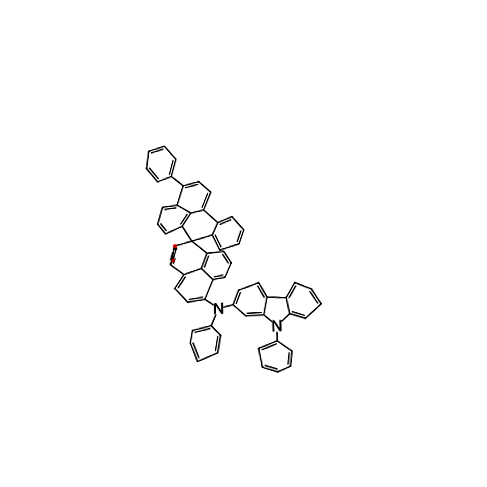 c1ccc(-c2ccc3c4c(cccc24)C2(c4ccccc4-3)c3ccccc3-c3ccc(N(c4ccccc4)c4ccc5c6ccccc6n(-c6ccccc6)c5c4)c4cccc2c34)cc1